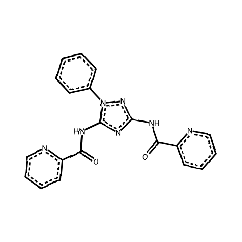 O=C(Nc1nc(NC(=O)c2ccccn2)n(-c2ccccc2)n1)c1ccccn1